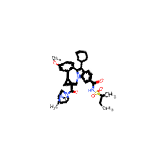 CCC(C)S(=O)(=O)NC(=O)c1ccc2c(C3CCCCC3)c3n(c2c1)CC1(C(=O)N2CC4CCC2CN4C)CC1c1cc(OC)ccc1-3